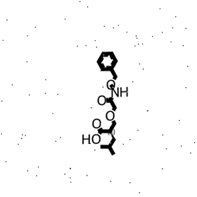 CC(C)C[C@H](COCC(=O)NOCc1ccccc1)C(=O)O